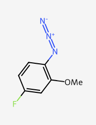 COc1cc(F)ccc1N=[N+]=[N-]